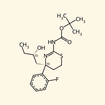 CC[C@H](O)C[C@@]1(c2ccccc2F)CCSC(NC(=O)OC(C)(C)C)=N1